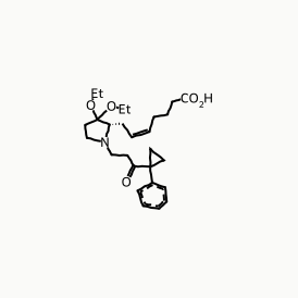 CCOC1(OCC)CCN(CCC(=O)C2(c3ccccc3)CC2)[C@H]1C/C=C\CCCC(=O)O